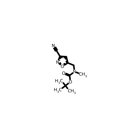 CN(Cc1cc(C#N)no1)C(=O)OC(C)(C)C